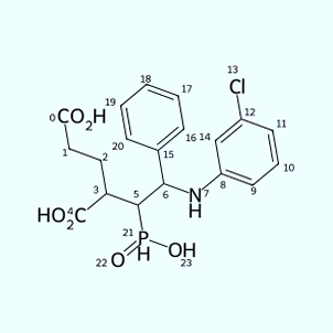 O=C(O)CCC(C(=O)O)C(C(Nc1cccc(Cl)c1)c1ccccc1)[PH](=O)O